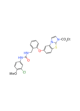 CCOC(=O)N1C=CN2c3cc(Oc4ccccc4CNC(=O)Nc4ccc(OC)c(Cl)c4)ccc3SC12